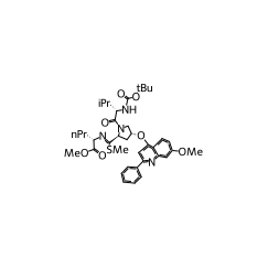 CCC[C@H](/N=C(\SC)[C@@H]1C[C@@H](Oc2cc(-c3ccccc3)nc3cc(OC)ccc23)CN1C(=O)[C@@H](NC(=O)OC(C)(C)C)C(C)C)C(=O)OC